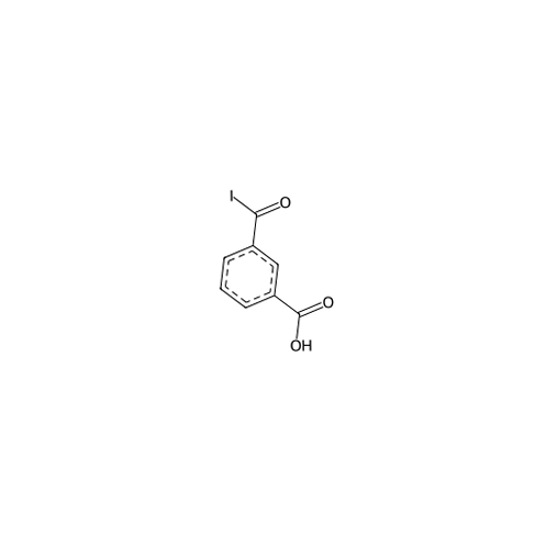 O=C(O)c1cccc(C(=O)I)c1